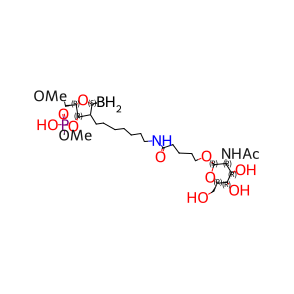 B[C@@H]1O[C@H](COC)[C@H](OP(=O)(O)OC)C1CCCCCCCNC(=O)CCCCO[C@@H]1O[C@H](CO)[C@H](O)[C@H](O)[C@H]1NC(C)=O